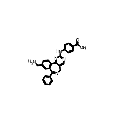 NCc1ccc2c(c1)C(c1ccccc1)=NCc1cnc(Nc3ccc(C(=O)O)cc3)nc1-2